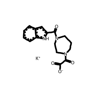 O=C([O-])C(=O)N1CCCN(C(=O)c2cc3ccccc3[nH]2)CC1.[K+]